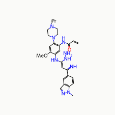 C=CC(=O)Nc1cc(N/C(=C/C(=N)c2ccc3c(cnn3C)c2)NN)c(OC)cc1N1CCN(C(C)C)CC1